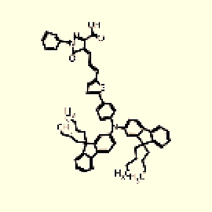 CCCCC1(CCCC)c2ccccc2-c2ccc(N(c3ccc(-c4ccc(/C=C/C=C5\C(=O)N(c6ccccc6)N=C5C(=O)O)s4)cc3)c3ccc4c(c3)C(CCCC)(CCCC)c3ccccc3-4)cc21